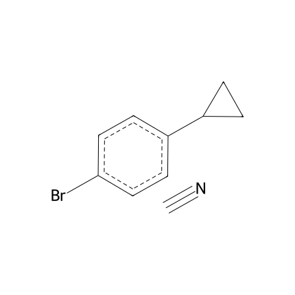 Brc1ccc(C2CC2)cc1.C#N